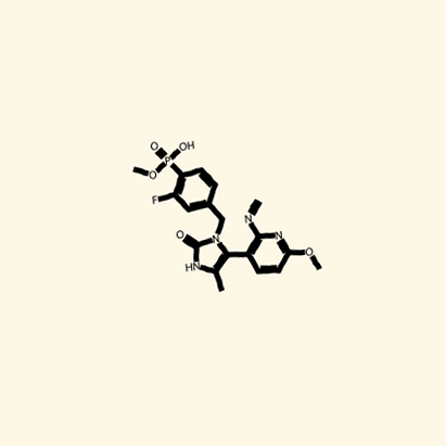 C=Nc1nc(OC)ccc1-c1c(C)[nH]c(=O)n1Cc1ccc(P(=O)(O)OC)c(F)c1